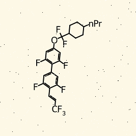 CCCC1CCC(C(F)(F)Oc2cc(F)c(-c3cc(F)c(C=CC(F)(F)F)c(F)c3)c(F)c2)CC1